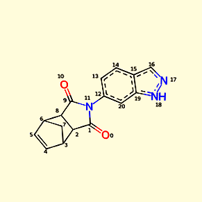 O=C1C2C3C=CC(C3)C2C(=O)N1c1ccc2cn[nH]c2c1